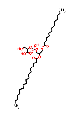 CCCCCCCCCCCCCCCCCC(=O)OC(COC(=O)CCCCCCCCCCCCC)COP(=O)(O)OC(CO)C(=O)O